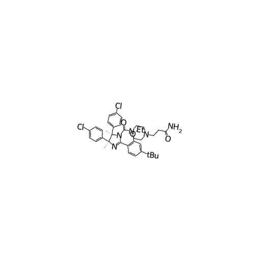 CCOc1cc(C(C)(C)C)ccc1C1=N[C@@](C)(c2ccc(Cl)cc2)[C@@](C)(c2ccc(Cl)cc2)N1C(=O)N1CCN(CCC(N)=O)CC1